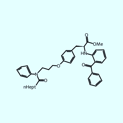 CCCCCCCC(=O)N(CCCOc1ccc(C[C@H](Nc2ccccc2C(=O)c2ccccc2)C(=O)OC)cc1)c1ccccc1